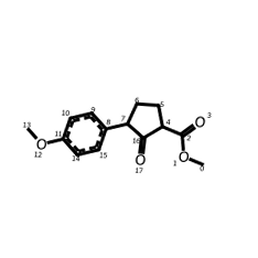 COC(=O)C1CCC(c2ccc(OC)cc2)C1=O